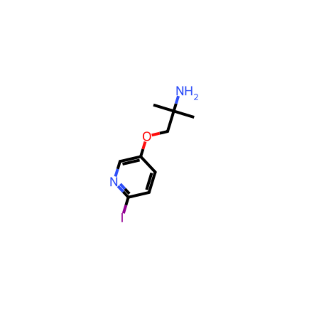 CC(C)(N)COc1ccc(I)nc1